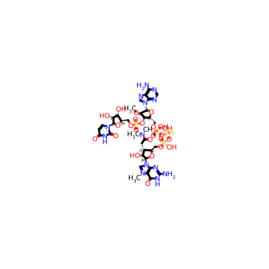 CO[C@@H]1[C@H](OP(=O)([O-])OC[C@H]2O[C@@H](n3ccc(=O)[nH]c3=O)[C@H](O)[C@@H]2O)[C@@H](COP(=O)(O)OP(O)(=S)OP(=O)(O)OC[C@H]2O[C@@H](n3c[n+](C)c4c(=O)[nH]c(N)nc43)[C@H](O)[C@@H]2CC(=O)N(C)C)O[C@H]1n1cnc2c(N)ncnc21